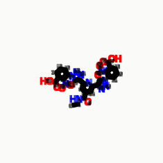 CCNC(=O)c1cc(-c2cn(-c3cccc(C(=O)O)c3[N+](=O)[O-])nn2)nc(-c2cn(-c3cccc(C(=O)O)c3[N+](=O)[O-])nn2)c1